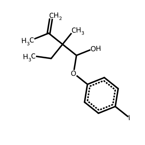 C=C(C)C(C)(CC)C(O)Oc1ccc(I)cc1